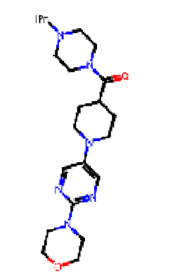 CC(C)N1CCN(C(=O)C2CCN(c3cnc(N4CCOCC4)nc3)CC2)CC1